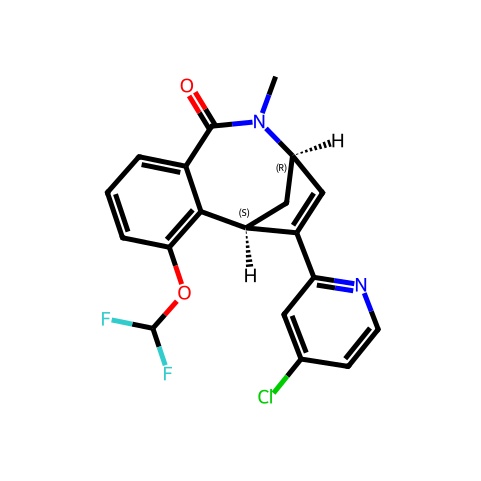 CN1C(=O)c2cccc(OC(F)F)c2[C@H]2C[C@@H]1C=C2c1cc(Cl)ccn1